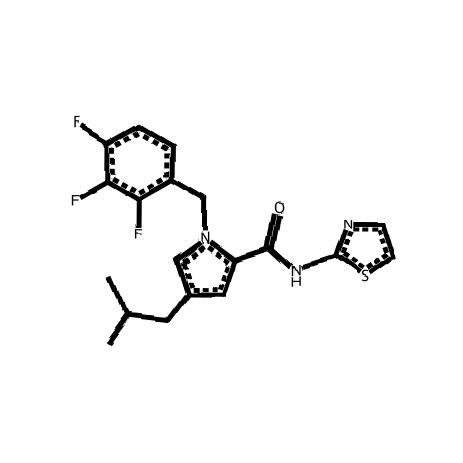 CC(C)Cc1cc(C(=O)Nc2nccs2)n(Cc2ccc(F)c(F)c2F)c1